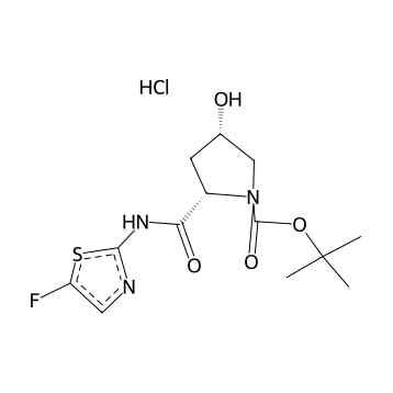 CC(C)(C)OC(=O)N1C[C@@H](O)C[C@H]1C(=O)Nc1ncc(F)s1.Cl